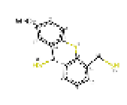 COc1ccc(Sc2ccccc2CS)c(CS)c1